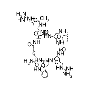 CC(=O)N[C@@H](CCCNC(=N)N)C(=O)N[C@H]1CCNC(=O)CCC[C@@H](C(N)=O)NC(=O)[C@H](Cc2c[nH]c3ccccc23)NC(=O)[C@H](CCCNC(=N)N)NC(=O)[C@@H](Cc2ccccc2)NC(=O)[C@H](CCN)NC1=O